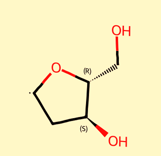 OC[C@H]1O[CH]C[C@@H]1O